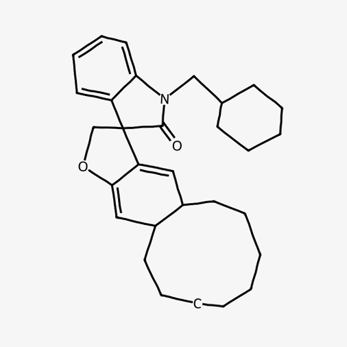 O=C1N(CC2CCCCC2)c2ccccc2C12COC1=CC3CCCCCCCCC3C=C12